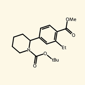 CCc1cc(C2CCCCN2C(=O)OC(C)(C)C)ccc1C(=O)OC